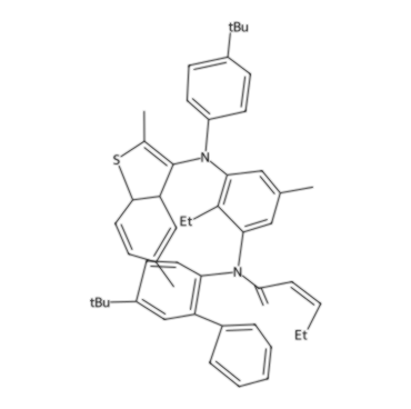 C=C(/C=C\CC)N(c1ccc(C(C)(C)C)cc1-c1ccccc1)c1cc(C)cc(N(C2=C(C)SC3C=CC(C)=CC23)c2ccc(C(C)(C)C)cc2)c1CC